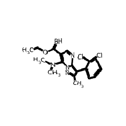 B=C(OCC)c1cnc2c(-c3cccc(Cl)c3Cl)c(C)nn2c1N(C)C